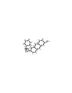 CCc1ccc2cc3cc(F)ccc3cc2c1-c1ccccc1N